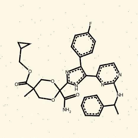 CC(Nc1nccc(-c2[nH]c(C3(C(N)=O)OCC(C)(C(=O)OCC4CC4)CO3)nc2-c2ccc(F)cc2)n1)c1ccccc1